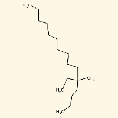 CCCCCCCCCCC(C)(CC)CCCC